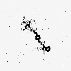 CC(=O)O[C@H]1[C@H](ONC(=O)/C=C/c2ccc(CNCCc3c(C)[nH]c4ccccc34)cc2)O[C@H](CF)[CH][C@@H]1OC(C)=O